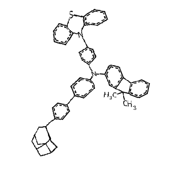 CC1(C)c2ccccc2-c2ccc(N(c3ccc(-c4ccc(C56CC7CC8CC(C5)C8(C7)C6)cc4)cc3)c3ccc(N4c5ccccc5Sc5ccccc54)cc3)cc21